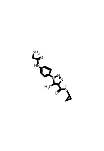 Cc1c(C(=O)NC2CC2)nnn1-c1ccc(NC(=O)CN)cc1